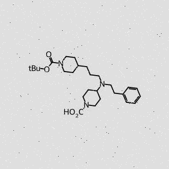 CC(C)(C)OC(=O)N1CCC(CCCN(CCc2ccccc2)C2CCN(C(=O)O)CC2)CC1